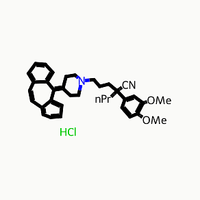 CCCC(C#N)(CCCN1CCC(=C2c3ccccc3C=Cc3ccccc32)CC1)c1ccc(OC)c(OC)c1.Cl